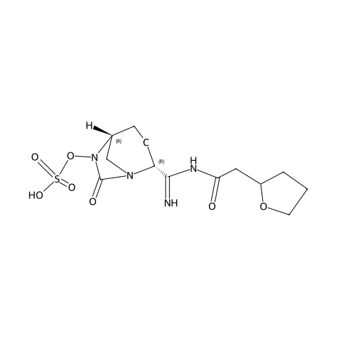 N=C(NC(=O)CC1CCCO1)[C@H]1CC[C@@H]2CN1C(=O)N2OS(=O)(=O)O